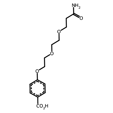 NC(=O)CCOCCOCCOc1ccc(C(=O)O)cc1